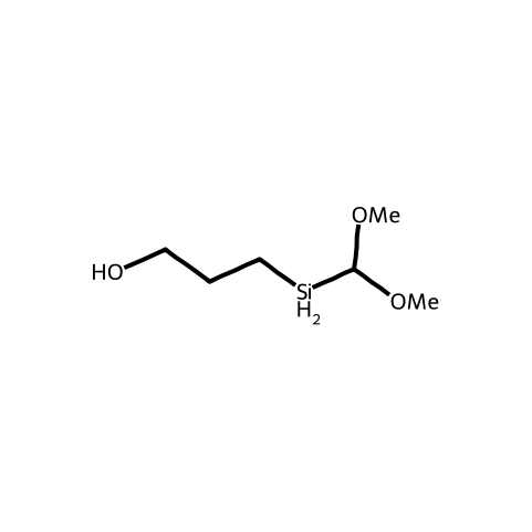 COC(OC)[SiH2]CCCO